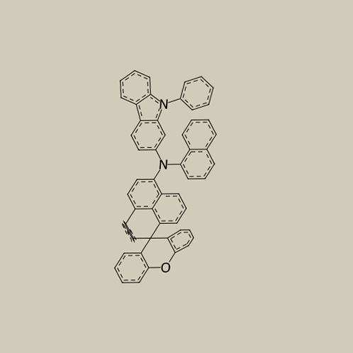 c1ccc(-n2c3ccccc3c3ccc(N(c4cccc5ccccc45)c4ccc5c6c(cccc46)C4(c6ccccc6Oc6ccccc64)c4ccccc4-5)cc32)cc1